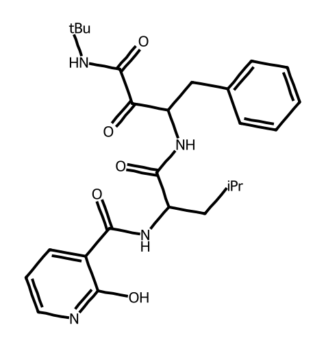 CC(C)CC(NC(=O)c1cccnc1O)C(=O)NC(Cc1ccccc1)C(=O)C(=O)NC(C)(C)C